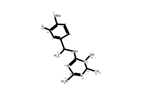 CSc1ccc(C(C)NC2=NC(N)=NC(C)N2S)cc1Cl